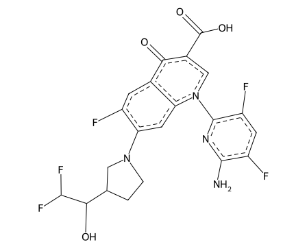 Nc1nc(-n2cc(C(=O)O)c(=O)c3cc(F)c(N4CCC(C(O)C(F)F)C4)cc32)c(F)cc1F